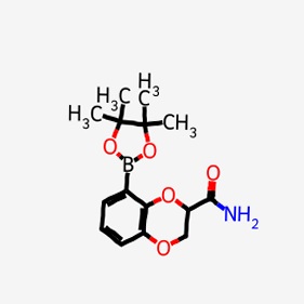 CC1(C)OB(c2cccc3c2OC(C(N)=O)CO3)OC1(C)C